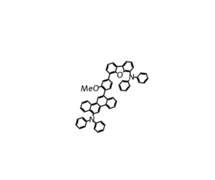 COc1cc(-c2cccc3c2oc2c(N(c4ccccc4)c4ccccc4)cccc23)ccc1-c1cc2c3ccccc3c(N(c3ccccc3)c3ccccc3)cc2c2ccccc12